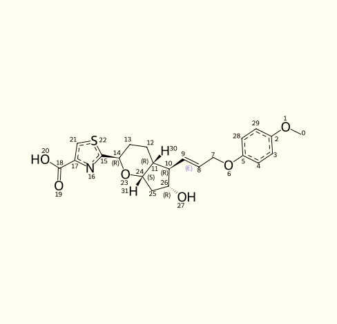 COc1ccc(OC/C=C/[C@@H]2[C@H]3CC[C@H](c4nc(C(=O)O)cs4)O[C@H]3C[C@H]2O)cc1